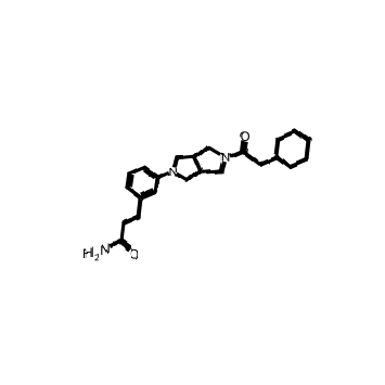 NC(=O)CCc1cccc(N2CC3CN(C(=O)CC4CCCCC4)CC3C2)c1